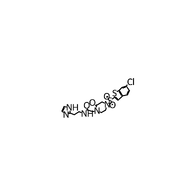 O=C(CN1CCN(S(=O)(=O)c2cc3ccc(Cl)cc3s2)CC1=O)NCCc1ncc[nH]1